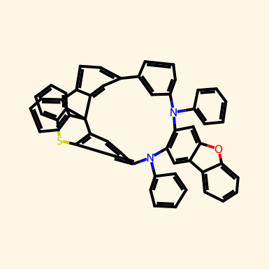 c1ccc(N2c3cccc(c3)-c3ccc4c(c3)C3(c5ccccc5Sc5cc(ccc53)N(c3ccccc3)c3cc5c(cc32)oc2ccccc25)c2ccccc2-4)cc1